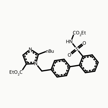 CCCCc1ncc(C(=O)OCC)n1Cc1ccc(-c2ccccc2S(=O)(=O)NC(=O)OCC)cc1